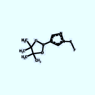 CC1(C)OB(c2cnn(SF)c2)OC1(C)C